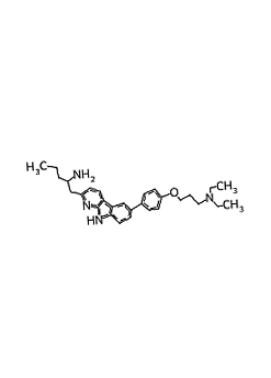 CCCC(N)Cc1ccc2c(n1)[nH]c1ccc(-c3ccc(OCCCN(CC)CC)cc3)cc12